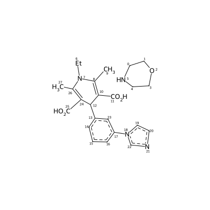 C1COCCN1.CCN1C(C)=C(C(=O)O)C(c2cccc(-n3ccnc3)c2)C(C(=O)O)=C1C